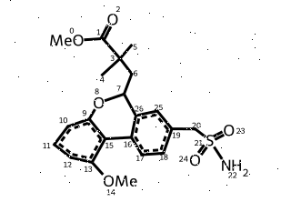 COC(=O)C(C)(C)CC1Oc2cccc(OC)c2-c2ccc(CS(N)(=O)=O)cc21